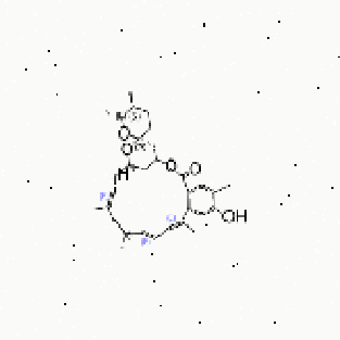 C/C1=C\C[C@@H]2CC(C[C@]3(CC[C@H](C)[C@@H](C)O3)O2)OC(=O)c2cc(C)c(O)cc2/C(C)=C/C=C/[C@H](C)C1